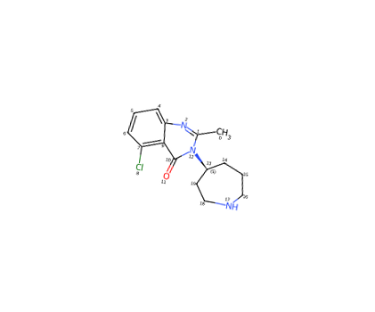 Cc1nc2cccc(Cl)c2c(=O)n1[C@H]1CCCNCC1